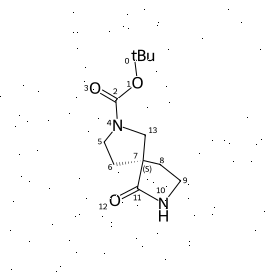 CC(C)(C)OC(=O)N1CC[C@@]2(CCNC2=O)C1